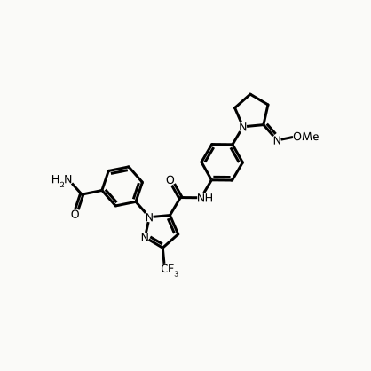 CON=C1CCCN1c1ccc(NC(=O)c2cc(C(F)(F)F)nn2-c2cccc(C(N)=O)c2)cc1